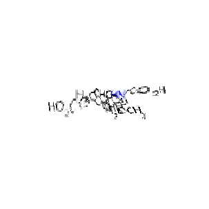 C=C(C)[C@@H]1CCC2(NCCC(=O)O)CCC3C(CCC4C3(C)CCC3C(C)(C)C(C5=CCC(C(=O)O)CC5)=CCC34C)[C@@H]12